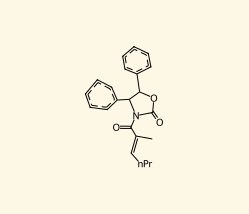 CCC/C=C(\C)C(=O)N1C(=O)OC(c2ccccc2)C1c1ccccc1